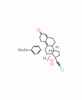 CNc1ccc([C@H]2C[C@@]3(C)[C@@H](CC[C@@]3(O)C#CCl)[C@@H]3CCC4=CC(=O)CCC4=C32)cc1